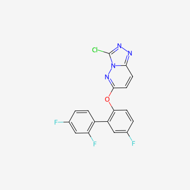 Fc1ccc(-c2cc(F)ccc2Oc2ccc3nnc(Cl)n3n2)c(F)c1